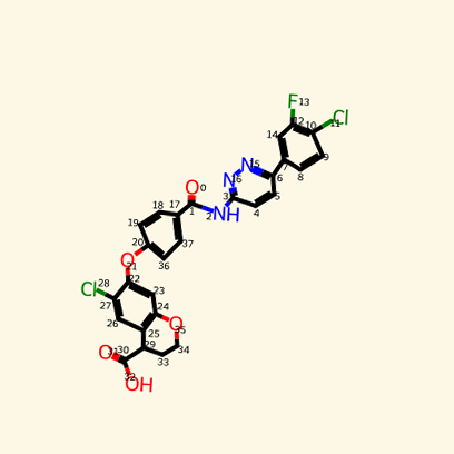 O=C(Nc1ccc(-c2ccc(Cl)c(F)c2)nn1)c1ccc(Oc2cc3c(cc2Cl)C(C(=O)O)CCO3)cc1